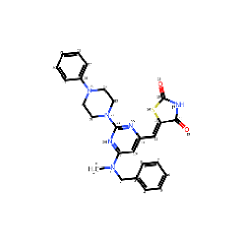 CN(Cc1ccccc1)c1cc(C=C2SC(=O)NC2=O)nc(N2CCN(c3ccccc3)CC2)n1